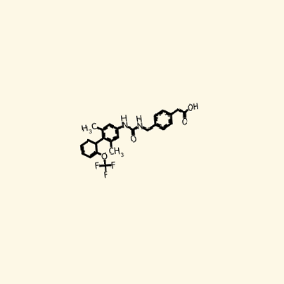 Cc1cc(NC(=O)NCc2ccc(CC(=O)O)cc2)cc(C)c1C1CC=CC=C1OC(F)(F)F